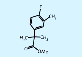 COC(=O)C(C)(C)c1ccc(F)c(C)c1